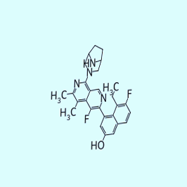 CCc1c(F)ccc2cc(O)cc(-c3ncc4c(N5CC6CCC(C5)N6)nc(C)c(C)c4c3F)c12